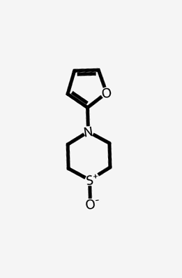 [O-][S+]1CCN(c2ccco2)CC1